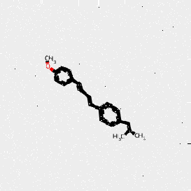 COc1ccc(/C=C/CCc2ccc(CC(C)C)cc2)cc1